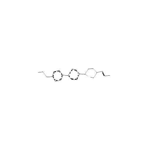 CCCc1ccc(-c2ccc(C3CCC(/C=C/Cl)CC3)cc2)cc1